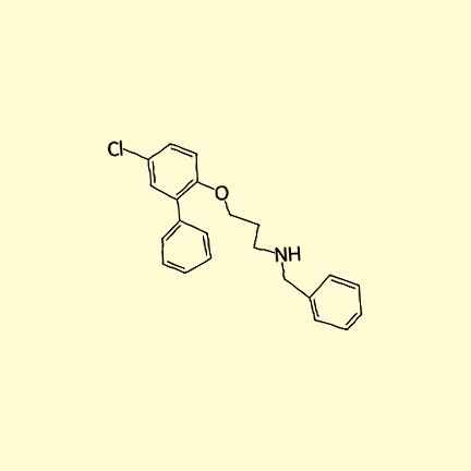 Clc1ccc(OCCCNCc2ccccc2)c(-c2ccccc2)c1